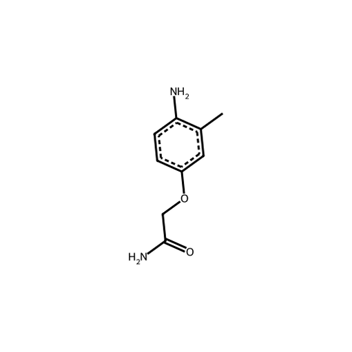 Cc1cc(OCC(N)=O)ccc1N